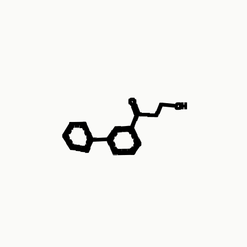 O=C(CCO)c1cccc(-c2ccccc2)c1